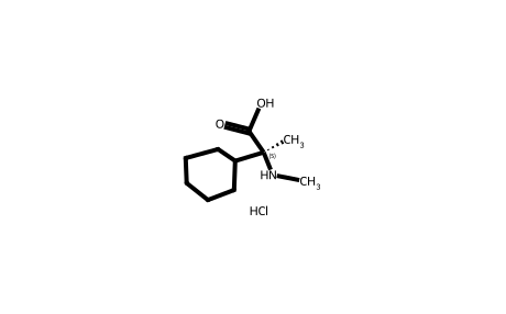 CN[C@](C)(C(=O)O)C1CCCCC1.Cl